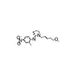 COCC/C=C/CN1CCSC1=Nc1ccc([N+](=O)[O-])cc1C